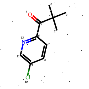 CC(C)(C)C(=O)c1ccc(Cl)cn1